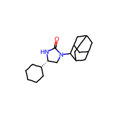 O=C1N[C@@H](C2CCCCC2)CN1C1C2CC3CC(C2)CC1C3